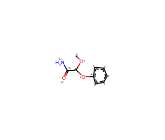 COC(Oc1ccccc1)C(N)=O